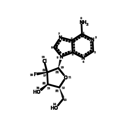 Nc1ncnc2c1ncn2[C@@H]1O[C@H](CO)[C@@H](O)[C@]1(F)Cl